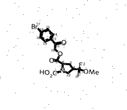 COC(F)(F)C1CC(C(=O)OCC(=O)c2ccc(Br)cc2)N(C(=O)O)C1